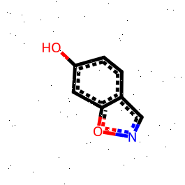 Oc1ccc2cnoc2c1